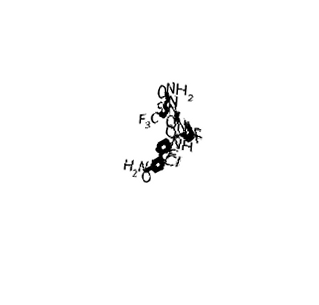 NC(=O)C1=NN(CC(=O)N2C[C@H](F)C[C@H]2C(=O)Nc2cccc(-c3cc(C(N)=O)ccc3Cl)c2F)C2C=C(C(F)(F)F)SC12